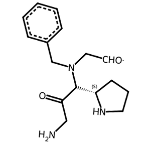 NCC(=O)C([C@@H]1CCCN1)N(C[C]=O)Cc1ccccc1